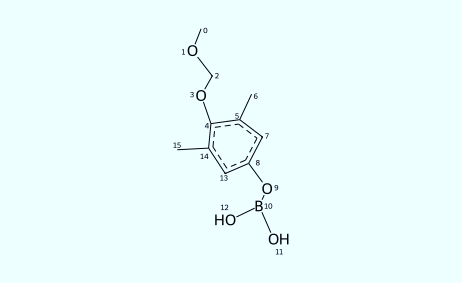 COCOc1c(C)cc(OB(O)O)cc1C